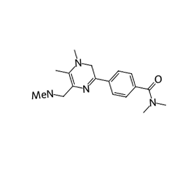 CNCC1=C(C)N(C)CC(c2ccc(C(=O)N(C)C)cc2)=N1